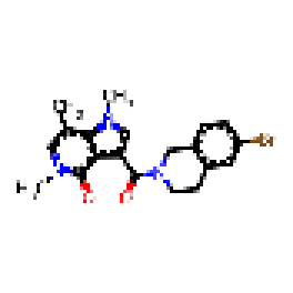 Cc1cn(C)c(=O)c2c(C(=O)N3CCc4cc(Br)ccc4C3)cn(C)c12